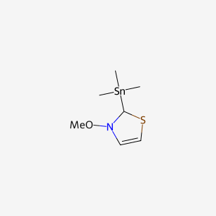 CON1C=CS[CH]1[Sn]([CH3])([CH3])[CH3]